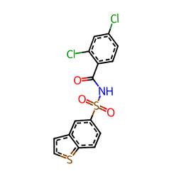 O=C(NS(=O)(=O)c1ccc2sccc2c1)c1ccc(Cl)cc1Cl